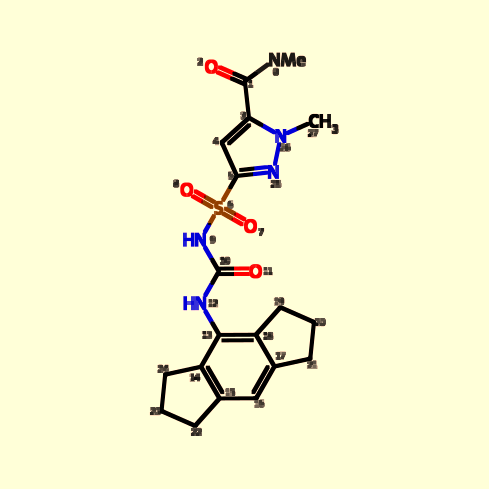 CNC(=O)c1cc(S(=O)(=O)NC(=O)Nc2c3c(cc4c2CCC4)CCC3)nn1C